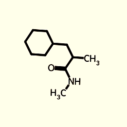 CNC(=O)C(C)CC1CCCCC1